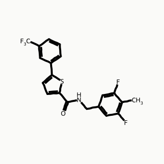 Cc1c(F)cc(CNC(=O)c2ccc(-c3cccc(C(F)(F)F)c3)s2)cc1F